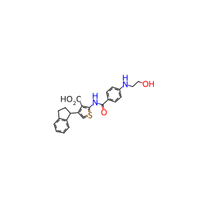 O=C(Nc1scc(C2CCc3ccccc32)c1C(=O)O)c1ccc(NCCO)cc1